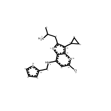 CC(N)Cc1oc2c(NCc3cccs3)cc(Cl)nc2c1C1CC1